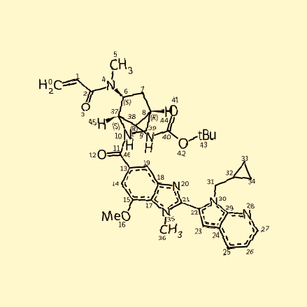 C=CC(=O)N(C)[C@H]1C[C@@H]2CN(C(=O)c3cc(OC)c4c(c3)nc(-c3cc5cccnc5n3CC3CC3)n4C)[C@H]1[C@@H]2NC(=O)OC(C)(C)C